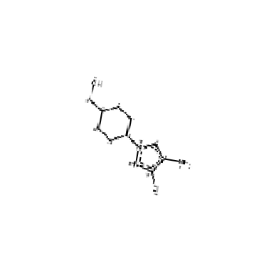 Nc1cn(C2CCC(CO)CC2)nc1Cl